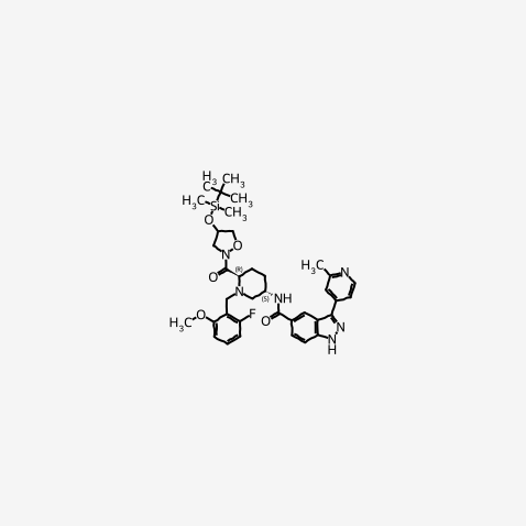 COc1cccc(F)c1CN1C[C@@H](NC(=O)c2ccc3[nH]nc(-c4ccnc(C)c4)c3c2)CC[C@@H]1C(=O)N1CC(O[Si](C)(C)C(C)(C)C)CO1